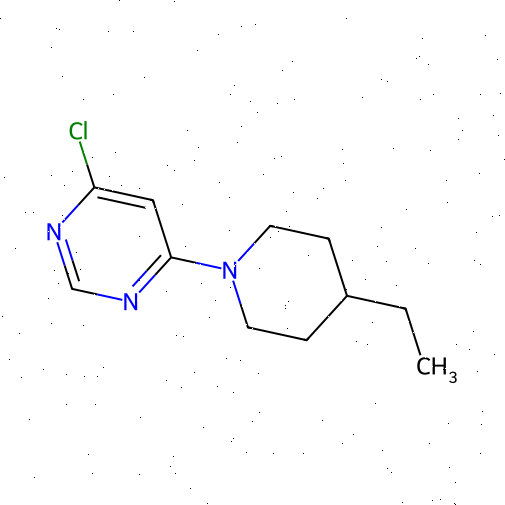 CCC1CCN(c2cc(Cl)ncn2)CC1